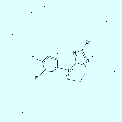 Fc1ccc(N2CCCn3nc(Br)nc32)cc1F